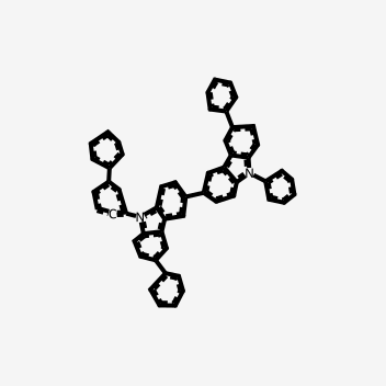 c1ccc(-c2cccc(-n3c4ccc(-c5ccccc5)cc4c4cc(-c5ccc6c(c5)c5cc(-c7ccccc7)ccc5n6-c5ccccc5)ccc43)c2)cc1